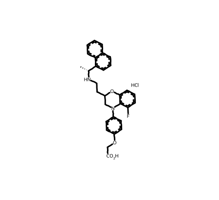 C[C@@H](NCCC1CN(c2ccc(OCC(=O)O)cc2)c2c(F)cccc2O1)c1cccc2ccccc12.Cl